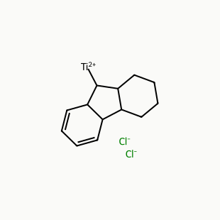 [Cl-].[Cl-].[Ti+2][CH]1C2C=CC=CC2C2CCCCC12